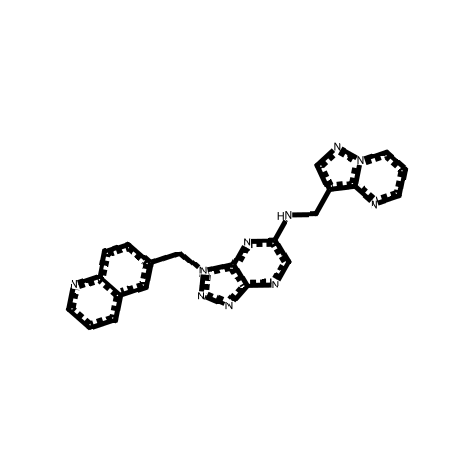 c1cnc2ccc(Cn3nnc4ncc(NCc5cnn6cccnc56)nc43)cc2c1